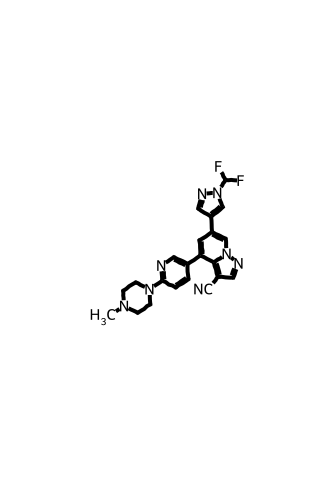 CN1CCN(c2ccc(-c3cc(-c4cnn(C(F)F)c4)cn4ncc(C#N)c34)cn2)CC1